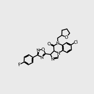 O=C1C2C(c3nc(-c4ccc(F)cc4)no3)N=CN2c2ccc(Cl)cc2N1CC1CCCO1